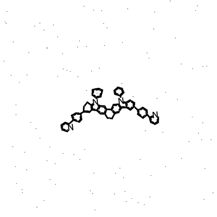 C1=C(c2ccc(-c3ccccn3)cc2)CCc2c1c1cc3c(cc1n2-c1ccccc1)-c1cc2c(cc1CC3)c1cc(-c3ccc(-c4ccccn4)cc3)ccc1n2-c1ccccc1